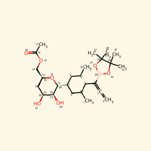 C=C=C(CC(C)CC(CCC)[C@H]1O[C@H](COC(C)=O)C[C@H](O)[C@@H]1O)B1OC(C)(C)C(C)(C)O1